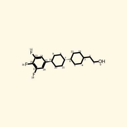 OCCC1CCC([C@H]2CC[C@H](c3cc(F)c(F)c(F)c3)CC2)CC1